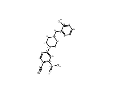 N#Cc1ccc(N2CCN(Cc3ccccc3Br)CC2)cc1[N+](=O)[O-]